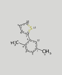 Cc1ccc(C)c(-c2cc[c]s2)c1